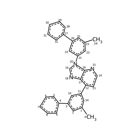 Cc1cc(-c2ccccc2)cc(-c2ccnc3c2ncn3-c2cc(C)cc(-c3ccccc3)c2)c1